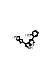 Oc1ccccc1-c1cc2c(C3CC4(CNC4)C3)c[nH]c2nn1